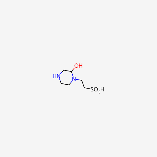 O=S(=O)(O)CCN1CCNCC1O